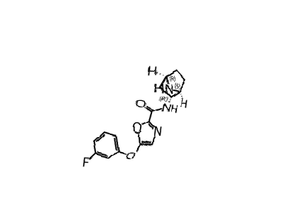 O=C(N[C@@H]1C[C@H]2CC[C@@H]1N2)c1ncc(Oc2cccc(F)c2)o1